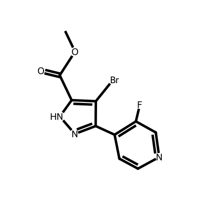 COC(=O)c1[nH]nc(-c2ccncc2F)c1Br